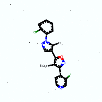 CCOC(=O)c1c(-c2ccncc2F)noc1-c1cnn(-c2ccccc2Cl)c1C(F)(F)F